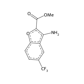 COC(=O)c1oc2ccc(C(F)(F)F)cc2c1N